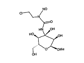 CO[C@H]1O[C@H](CO)[C@@H](O)[C@](O)(NC(=O)N(CCCl)N=O)[C@H]1O